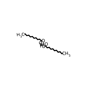 CCCCCCCCCCC(=O)O[Te](I)(I)OC(=O)CCCCCCCCCC